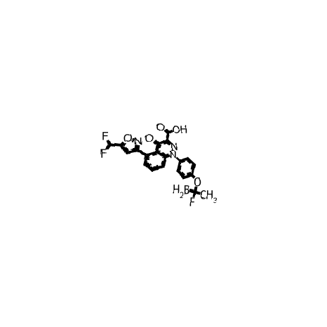 BC(C)(F)Oc1ccc(-n2nc(C(=O)O)c(=O)c3c(-c4cc(C(F)F)on4)cccc32)cc1